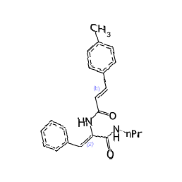 CCCNC(=O)/C(=C/c1ccccc1)NC(=O)/C=C/c1ccc(C)cc1